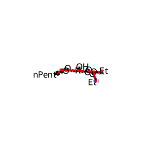 CC/C=C\CCCCOC(CCC(=O)OCCCCCCN(CCO)CCCCCCCC(=O)OCC1CCC(C2CCC(CCCCC)CC2)CC1)OCCCC/C=C\CC